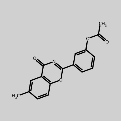 CC(=O)Oc1cccc(-c2nc(=O)c3cc(C)ccc3o2)c1